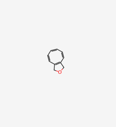 C1=CC=CC2=C(C=C1)COC2